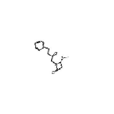 CSC1CC(=O)N1CC(=O)CCc1ccccc1